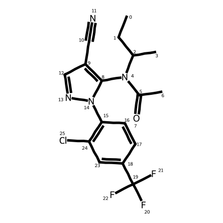 CCC(C)N(C(C)=O)c1c(C#N)cnn1-c1ccc(C(F)(F)F)cc1Cl